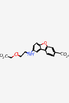 O=C(O)COCCNc1ccc2oc3cc(C(=O)O)ccc3c2c1